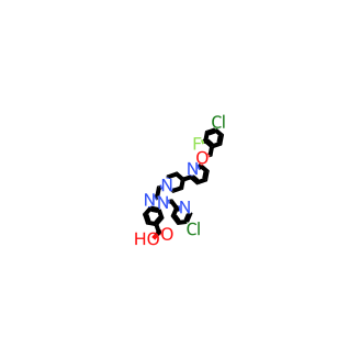 O=C(O)c1ccc2nc(CN3CCC(c4cccc(OCc5ccc(Cl)cc5F)n4)CC3)n(Cc3ccc(Cl)cn3)c2c1